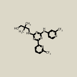 CC(C)(CO)CNc1nc(Nc2ccnc(C(F)(F)F)c2)nc(-c2cccc(C(F)(F)F)n2)n1